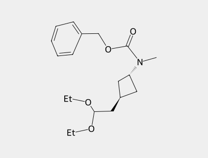 CCOC(C[C@H]1C[C@H](N(C)C(=O)OCc2ccccc2)C1)OCC